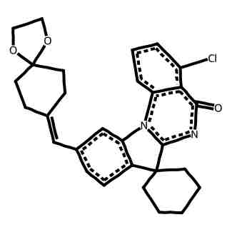 O=c1nc2n(c3cccc(Cl)c13)-c1cc(C=C3CCC4(CC3)OCCO4)ccc1C21CCCCC1